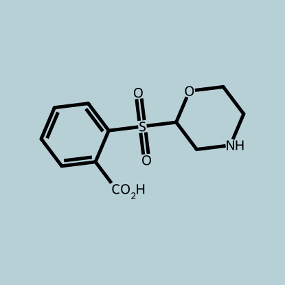 O=C(O)c1ccccc1S(=O)(=O)C1CNCCO1